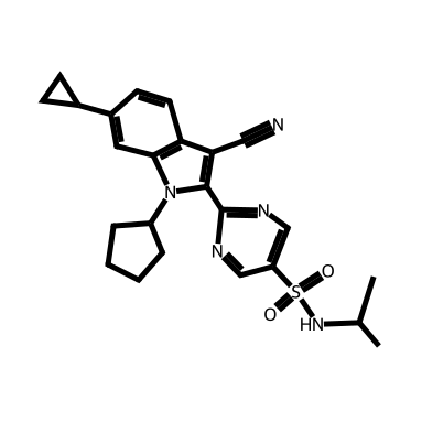 CC(C)NS(=O)(=O)c1cnc(-c2c(C#N)c3ccc(C4CC4)cc3n2C2CCCC2)nc1